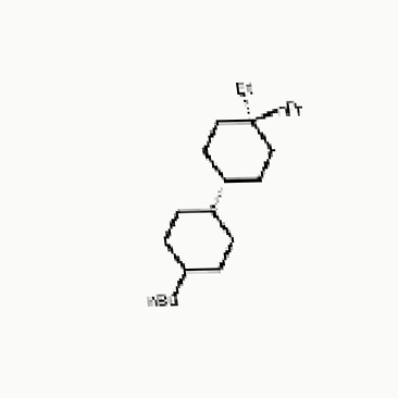 CCCCC1CCC([C@H]2CC[C@](CC)(CCC)CC2)CC1